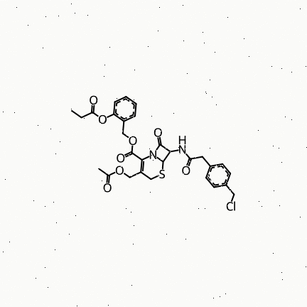 CCC(=O)Oc1ccccc1COC(=O)C1=C(COC(C)=O)CSC2C(NC(=O)Cc3ccc(CCl)cc3)C(=O)N12